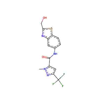 Cn1nc(C(F)(F)F)cc1C(=O)Nc1ccc2sc(CO)nc2c1